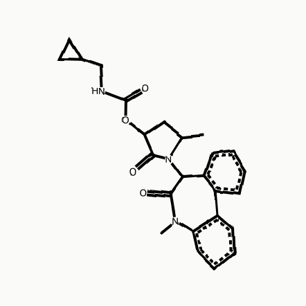 CC1CC(OC(=O)NCC2CC2)C(=O)N1C1C(=O)N(C)c2ccccc2-c2ccccc21